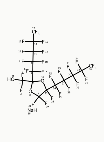 OC(F)(F)C1(C(F)(F)C(F)(F)C(F)(F)C(F)(F)C(F)(F)F)OC(F)(F)C(F)(C(F)(F)C(F)(F)C(F)(F)C(F)(F)C(F)(F)F)O1.[NaH]